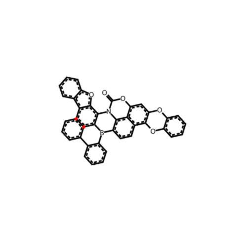 O=C1Oc2cc3c(c4ccc5c(c24)N1c1c(ccc2c1oc1ccccc12)B5c1ccccc1-c1ccccc1)Oc1ccccc1O3